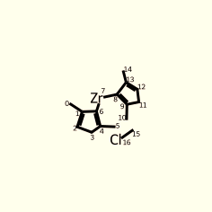 CC1=CCC(C)=[C]1[Zr][C]1=C(C)CC=C1C.CCl